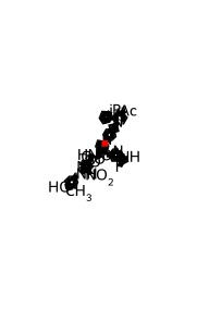 CC(=O)N1CCN(C2CC3(CCN(c4ccc(C(=O)NS(=O)(=O)c5cnc(NCC6CCC(C)(O)CC6)c([N+](=O)[O-])c5)c(Oc5cnc6[nH]cc(F)c6c5)c4)CC3)C2)[C@H](c2ccccc2C(C)C)C1